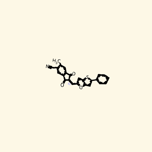 Cc1cc2c(cc1C#N)C(=O)/C(=C/c1cc3sc(-c4ccccc4)cc3o1)C2=O